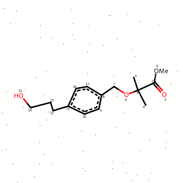 COC(=O)C(C)(C)OCc1ccc(CCCO)cc1